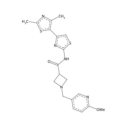 COc1ccc(CN2CC(C(=O)Nc3nc(-c4sc(C)nc4C)cs3)C2)cn1